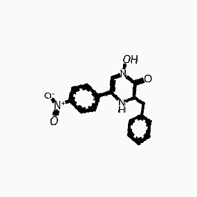 O=C1C(Cc2ccccc2)NC(c2ccc([N+](=O)[O-])cc2)=CN1O